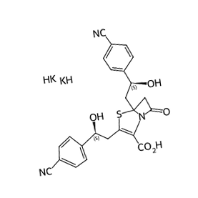 N#Cc1ccc([C@@H](O)CC2=C(C(=O)O)N3C(=O)CC3(C[C@H](O)c3ccc(C#N)cc3)S2)cc1.[KH].[KH]